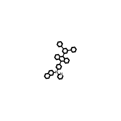 c1ccc(-c2cc(-c3ccccc3)cc(-c3c4ccccc4c(-c4ccc(N(c5ccc6ccccc6c5)c5ccccn5)cc4)c4ccccc34)c2)cc1